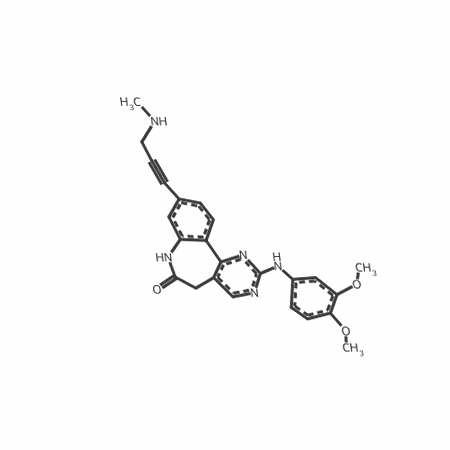 CNCC#Cc1ccc2c(c1)NC(=O)Cc1cnc(Nc3ccc(OC)c(OC)c3)nc1-2